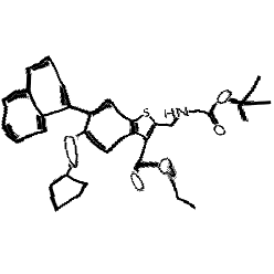 CCOC(=O)c1c(CNC(=O)OC(C)(C)C)sc2cc(-c3cccc4ccccc34)c(OC3CCCC3)cc12